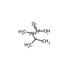 CNC(C)C.O=NO